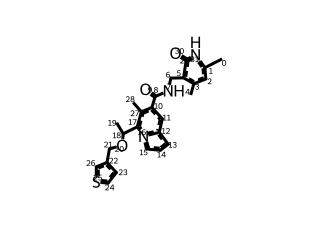 Cc1cc(C)c(CNC(=O)c2cc3cccn3c(C(C)OCc3ccsc3)c2C)c(=O)[nH]1